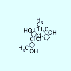 CCCc1cc(Cl)ccc1O.CCc1c(O)cccc1Cl.Cc1cc(Cl)ccc1O